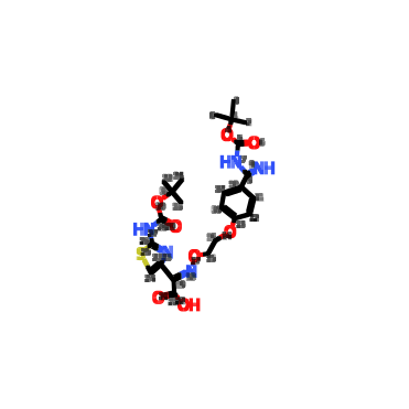 CC(C)(C)OC(=O)NC(=N)c1ccc(OCCO/N=C(/C(=O)O)c2csc(NC(=O)OC(C)(C)C)n2)cc1